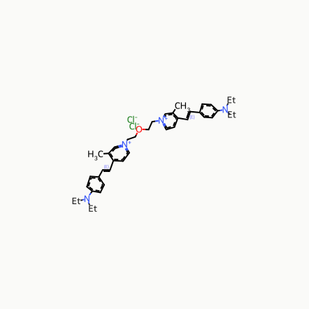 CCN(CC)c1ccc(/C=C/c2cc[n+](CCOCC[n+]3ccc(/C=C/c4ccc(N(CC)CC)cc4)c(C)c3)cc2C)cc1.[Cl-].[Cl-]